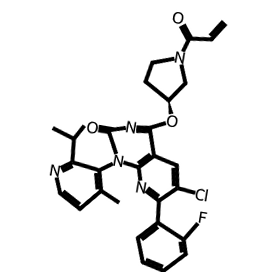 C=CC(=O)N1CC[C@H](Oc2nc(=O)n(-c3c(C)ccnc3C(C)C)c3nc(-c4ccccc4F)c(Cl)cc23)C1